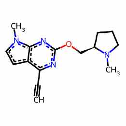 C#Cc1nc(OC[C@H]2CCCN2C)nc2c1ccn2C